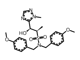 COc1ccc(CN(Cc2ccc(OC)cc2)S(=O)(=O)[C@H](C)[C@@H](O)c2ncnn2C)cc1